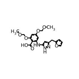 COCOc1cc(Nc2cc(Cc3ccco3)n[nH]2)c(C(=O)O)c(OCOC)c1